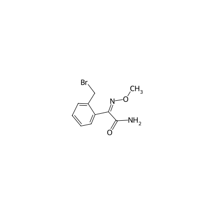 CON=C(C(N)=O)c1ccccc1CBr